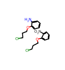 Nc1ccccc1OCCCCl.O=[N+]([O-])c1ccccc1OCCCCl